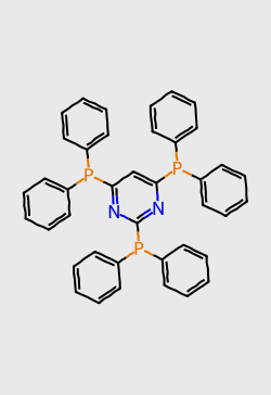 c1ccc(P(c2ccccc2)c2cc(P(c3ccccc3)c3ccccc3)nc(P(c3ccccc3)c3ccccc3)n2)cc1